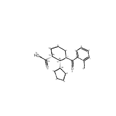 Cc1ccccc1C(=O)N1CCC[C@@H](C(=O)O)[C@H]1C1CCCC1